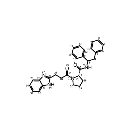 O=C(NC(Cc1ccccc1)c1ccccc1)[C@@H]1CCCN1C(=O)CCC1=[N+]c2ccccc2N1